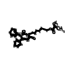 C=C(C)C(=O)OCCCCCCn1c(=O)cc(-c2ccccc2)n(-c2ccccc2)c1=O